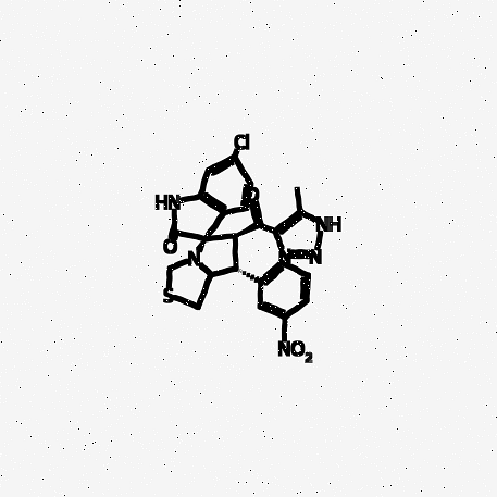 Cc1[nH]nnc1C(=O)[C@H]1[C@H](c2cccc([N+](=O)[O-])c2)C2CSCN2[C@]12C(=O)Nc1cc(Cl)ccc12